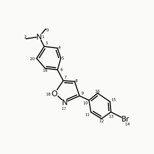 CN(C)c1ccc(-c2cc(-c3ccc(Br)cc3)no2)cc1